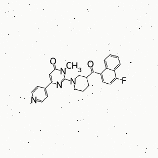 Cn1c(N2CCCC(C(=O)c3ccc(F)c4ccccc34)C2)nc(-c2ccncc2)cc1=O